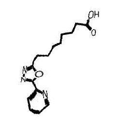 O=C(O)CCCCCCCc1nnc(-c2ccccn2)o1